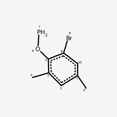 Cc1cc(C)c(OP)c(Br)c1